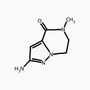 CN1CCn2nc(N)cc2C1=O